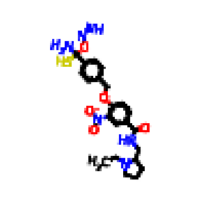 CCN1CCCC1CNC(=O)c1ccc(OCc2ccc(C(N)(S)ON=N)cc2)c([N+](=O)[O-])c1